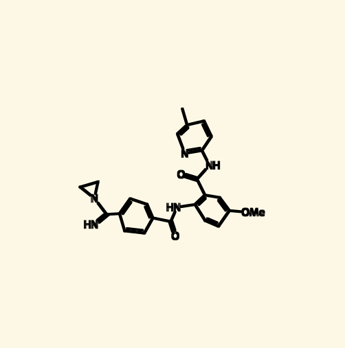 COc1ccc(NC(=O)c2ccc(C(=N)N3CC3)cc2)c(C(=O)Nc2ccc(C)cn2)c1